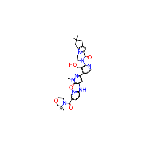 C[C@H]1COCCN1C(=O)c1ccc(Nc2cc(-c3ccnc(N4CCn5c(cc6c5CC(C)(C)C6)C4=O)c3CO)nn(C)c2=O)nc1